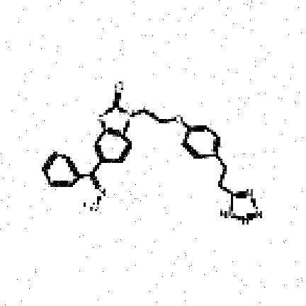 O=c1sc2cc(C(=NO)c3ccccc3)ccc2n1CCOc1ccc(CCc2nnn[nH]2)cc1